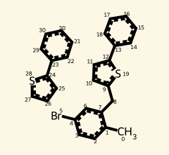 Cc1ccc(Br)cc1Cc1ccc(-c2ccccc2)s1.c1ccc(-c2cccs2)cc1